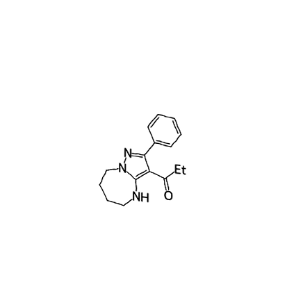 CCC(=O)c1c(-c2ccccc2)nn2c1NCCCC2